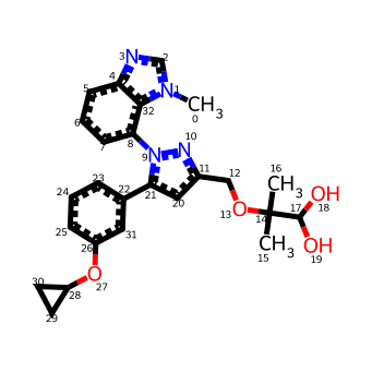 Cn1cnc2cccc(-n3nc(COC(C)(C)C(O)O)cc3-c3cccc(OC4CC4)c3)c21